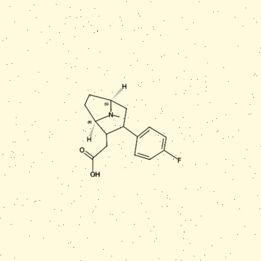 CN1[C@H]2CC[C@@H]1C(CC(=O)O)C(c1ccc(F)cc1)C2